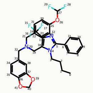 CCCCn1c(-c2ccccc2)nc(C(F)(F)F)c1CN(Cc1ccc(OC(F)F)cc1)Cc1ccc2c(c1)OCO2